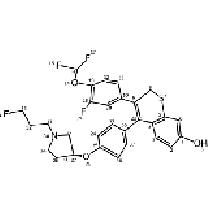 Oc1ccc2c(c1)SCC(c1ccc(OC(F)F)c(F)c1)=C2c1ccc(O[C@H]2CCN(CCCF)C2)cc1